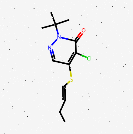 CCC=CSc1cnn(C(C)(C)C)c(=O)c1Cl